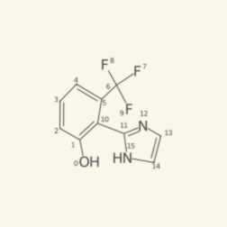 Oc1cccc(C(F)(F)F)c1-c1ncc[nH]1